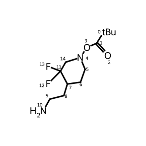 CC(C)(C)C(=O)ON1CCC(CCN)C(F)(F)C1